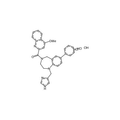 COc1cc(C(=O)N2CCN(Cc3c[nH]cn3)c3ccc(-c4ccccc4)cc3C2)nc2ccccc12.Cl.Cl.Cl